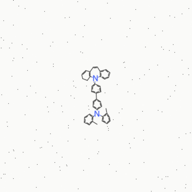 Cc1ccccc1N(c1ccc(-c2ccc(N3C4=C(C=CCC4)C=Cc4ccccc43)cc2)cc1)c1ccccc1C